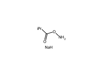 CC(C)C(=O)ON.[NaH]